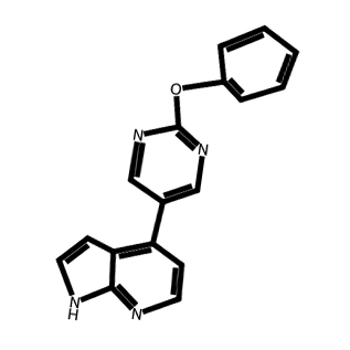 c1ccc(Oc2ncc(-c3ccnc4[nH]ccc34)cn2)cc1